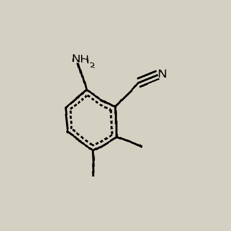 Cc1ccc(N)c(C#N)c1C